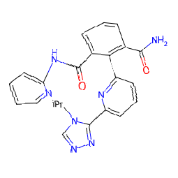 CC(C)n1cnnc1-c1cccc(-c2c(C(N)=O)cccc2C(=O)Nc2ccccn2)n1